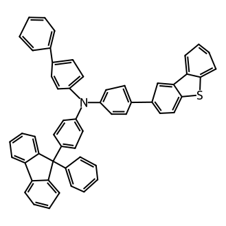 c1ccc(-c2ccc(N(c3ccc(-c4ccc5sc6ccccc6c5c4)cc3)c3ccc(C4(c5ccccc5)c5ccccc5-c5ccccc54)cc3)cc2)cc1